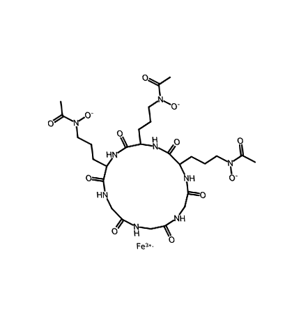 CC(=O)N([O-])CCCC1NC(=O)CNC(=O)CNC(=O)CNC(=O)C(CCCN([O-])C(C)=O)NC(=O)C(CCCN([O-])C(C)=O)NC1=O.[Fe+3]